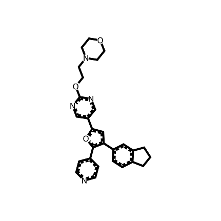 c1cc(-c2oc(-c3cnc(OCCN4CCOCC4)nc3)cc2-c2ccc3c(c2)CCC3)ccn1